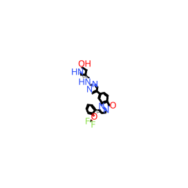 O=c1c2ccc(-c3cnc(NC[C@H]4CNC(O)C4)nc3)cc2n2n1CC[C@H]2c1ccccc1OC(F)F